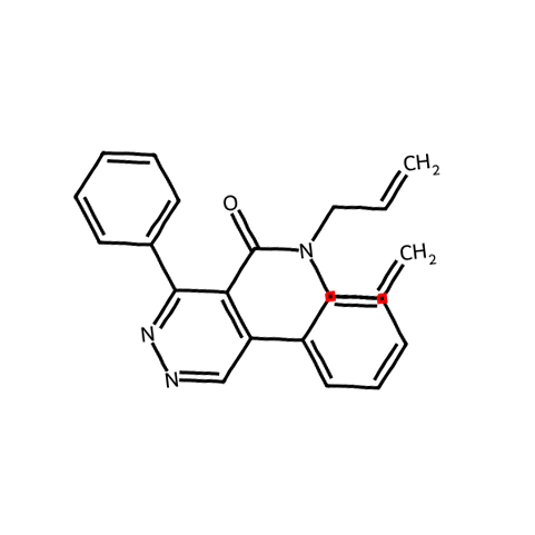 C=CCN(CC=C)C(=O)c1c(-c2ccccc2)cnnc1-c1ccccc1